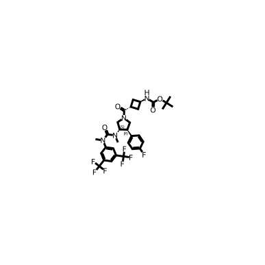 CN(C(=O)N(C)[C@@H]1CN(C(=O)[C@H]2C[C@H](NC(=O)OC(C)(C)C)C2)C[C@H]1c1ccc(F)cc1)c1cc(C(F)(F)F)cc(C(F)(F)F)c1